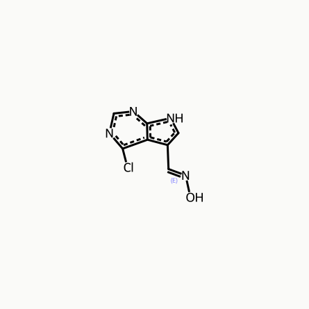 O/N=C/c1c[nH]c2ncnc(Cl)c12